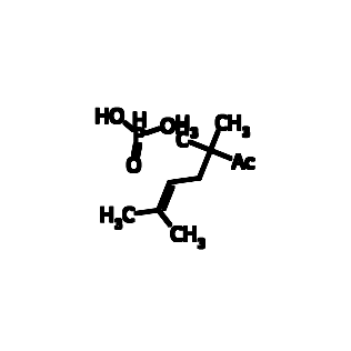 CC(=O)C(C)(C)CC=C(C)C.O=[PH](O)O